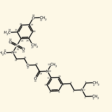 CCN(CC)CCc1cccc(N(C)C(=O)COCCN(C)S(=O)(=O)c2c(C)cc(OC)cc2C)c1